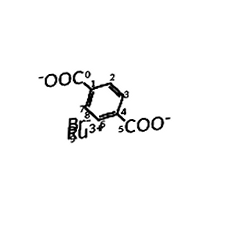 O=C([O-])c1ccc(C(=O)[O-])cc1.[Br-].[Ru+3]